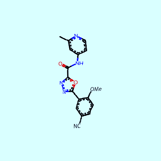 COc1ccc(C#N)cc1-c1nnc(C(=O)Nc2ccnc(C)c2)o1